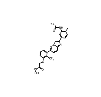 Cc1ccc(-c2cn3nc(-c4cccc(OCC(=O)NO)c4C(F)(F)F)ccc3n2)cc1NC(=O)C(C)(C)C